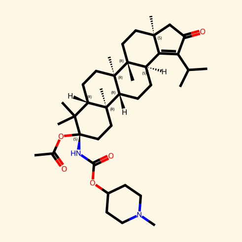 CC(=O)O[C@@]1(NC(=O)OC2CCN(C)CC2)CC[C@]2(C)[C@H]3CC[C@@H]4C5=C(C(C)C)C(=O)C[C@]5(C)CC[C@@]4(C)[C@]3(C)CC[C@H]2C1(C)C